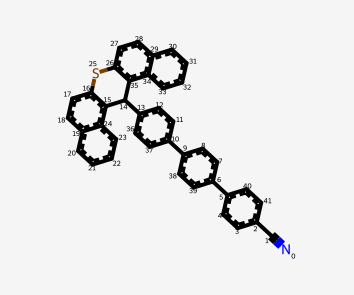 N#Cc1ccc(-c2ccc(-c3ccc(C4c5c(ccc6ccccc56)Sc5ccc6ccccc6c54)cc3)cc2)cc1